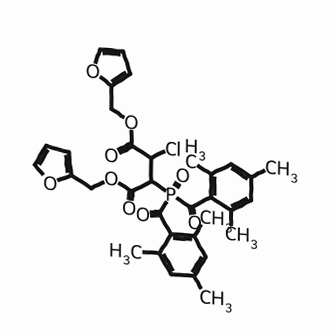 Cc1cc(C)c(C(=O)P(=O)(C(=O)c2c(C)cc(C)cc2C)C(C(=O)OCc2ccco2)C(Cl)C(=O)OCc2ccco2)c(C)c1